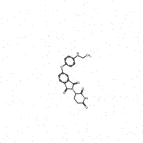 CCNc1ccc(Oc2ccc3c(c2)C(=O)N(C2CCC(=O)NC2=O)C3=O)cc1